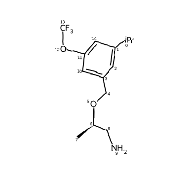 CC(C)c1cc(CO[C@H](C)CN)cc(OC(F)(F)F)c1